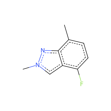 Cc1ccc(F)c2cn(C)nc12